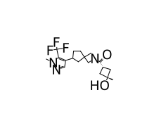 Cn1ncc(C2CCC3(C2)CN(C(=O)[C@H]2C[C@@](C)(O)C2)C3)c1C(F)(F)F